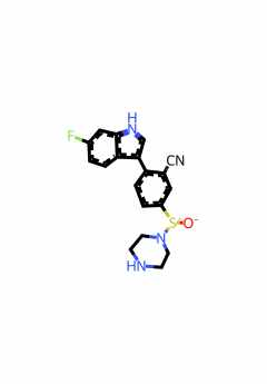 N#Cc1cc([S+]([O-])N2CCNCC2)ccc1-c1c[nH]c2cc(F)ccc12